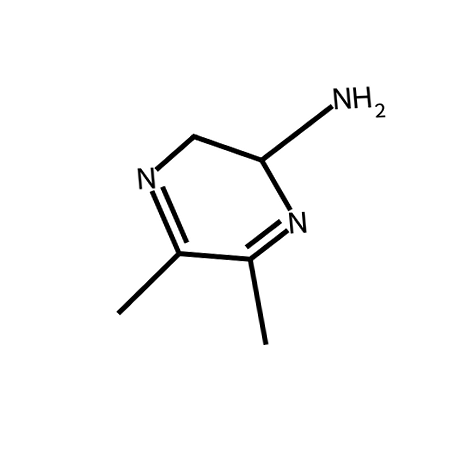 CC1=NCC(N)N=C1C